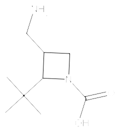 CC(C)(C)C1C(CN)CN1C(=O)O